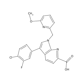 COc1cccc(Cn2cc(-c3ccc(Cl)c(F)c3)c3ccc(C(=O)O)nc32)n1